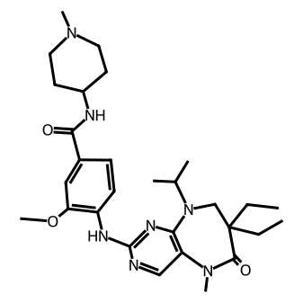 CCC1(CC)CN(C(C)C)c2nc(Nc3ccc(C(=O)NC4CCN(C)CC4)cc3OC)ncc2N(C)C1=O